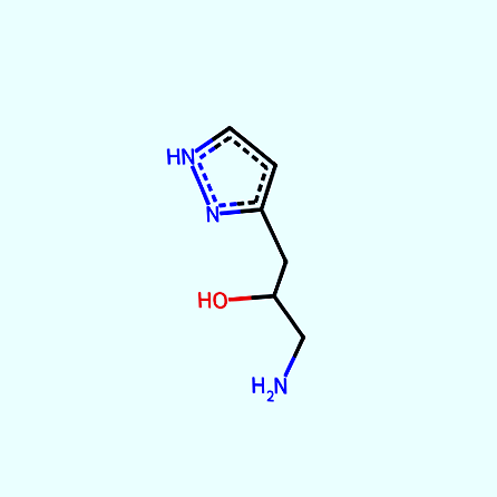 NCC(O)Cc1cc[nH]n1